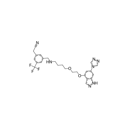 N#CCc1cc(CNCCCCOCCOc2cc(-n3cnnc3)cc3[nH]ncc23)cc(C(F)(F)F)c1